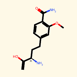 C=C(O)[C@H](N)CCc1ccc(C(N)=O)c(OC)c1